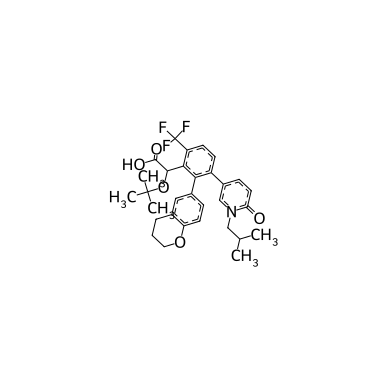 CC(C)Cn1cc(-c2ccc(C(F)(F)F)c(C(OC(C)(C)C)C(=O)O)c2-c2ccc3c(c2)CCCO3)ccc1=O